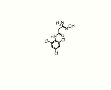 NC(CC(=O)Nc1c(Cl)cc(Cl)cc1Cl)=NO